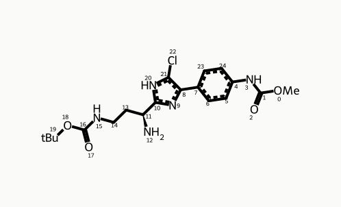 COC(=O)Nc1ccc(-c2nc([C@@H](N)CCNC(=O)OC(C)(C)C)[nH]c2Cl)cc1